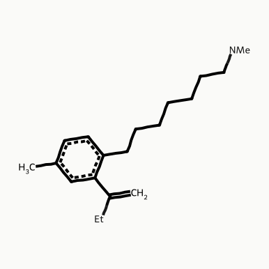 C=C(CC)c1cc(C)ccc1CCCCCCCNC